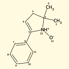 CC1(C)CC=C(c2ccccc2)[NH+]1[O-]